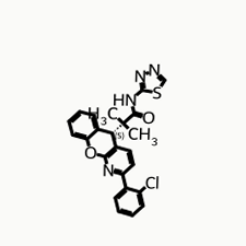 CC(C)(C(=O)Nc1nncs1)[C@H]1c2ccccc2Oc2nc(-c3ccccc3Cl)ccc21